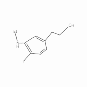 CCNc1cc(CCO)ccc1I